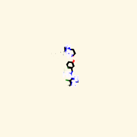 Cc1nc(C)c(Cl)c(NCc2cc(Oc3ccc4ncc([N+](=O)[O-])n4n3)ccc2F)n1